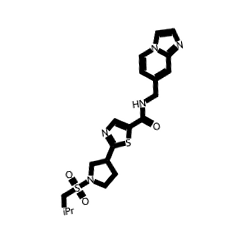 CC(C)CS(=O)(=O)N1CCC(c2ncc(C(=O)NCc3ccn4ccnc4c3)s2)C1